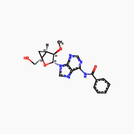 CO[C@H]1[C@H](n2cnc3c(NC(=O)c4ccccc4)ncnc32)O[C@@]2(CO)C[C@@H]12